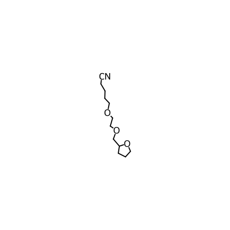 N#CCCCCOCCOCC1CCCO1